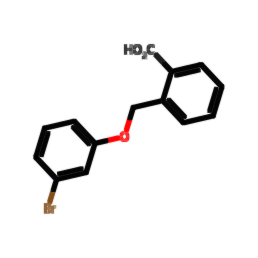 O=C(O)c1ccccc1COc1cccc(Br)c1